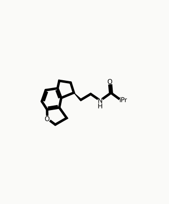 CC(C)C(=O)NCC[C@@H]1CCc2ccc3c(c21)CCO3